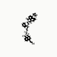 O=C1c2cccc3c(CCO)ccc(c23)C(=O)N1CCNCCCN(CCN1C(=O)c2cccc3c(-n4ccnc4)ccc(c23)C1=O)c1ccccc1